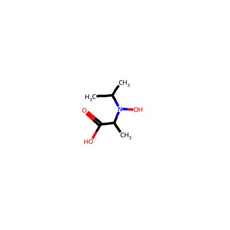 CC(C)N(O)C(C)C(=O)O